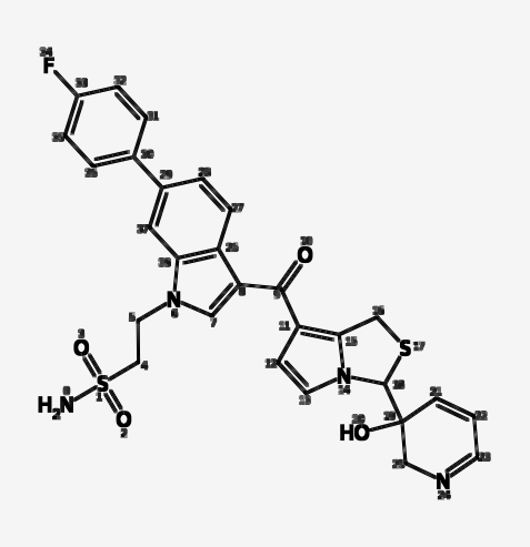 NS(=O)(=O)CCn1cc(C(=O)c2ccn3c2CSC3C2(O)C=CC=NC2)c2ccc(-c3ccc(F)cc3)cc21